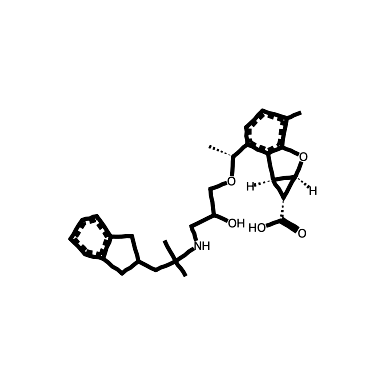 Cc1ccc([C@@H](C)OCC(O)CNC(C)(C)CC2Cc3ccccc3C2)c2c1O[C@H]1[C@H](C(=O)O)[C@@H]21